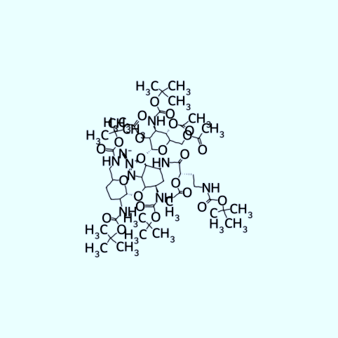 CC(=O)OCC1O[C@H](O[C@@H]2C(N=[N+]=[N-])C(O[C@H]3OC(CNC(=O)OC(C)(C)C)CCC3NC(=O)OC(C)(C)C)[C@H](NC(=O)OC(C)(C)C)C[C@H]2NC(=O)[C@H](CCNC(=O)OC(C)(C)C)OC(C)=O)C(OC(C)=O)[C@@H](NC(=O)OC(C)(C)C)[C@@H]1OC(C)=O